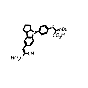 CCCCC(Sc1ccc(N2c3ccc(/C=C(\C#N)C(=O)O)cc3C3CCCC32)cc1)C(=O)O